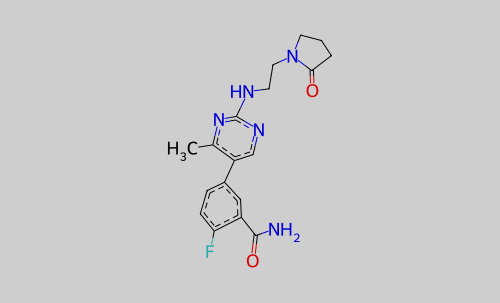 Cc1nc(NCCN2CCCC2=O)ncc1-c1ccc(F)c(C(N)=O)c1